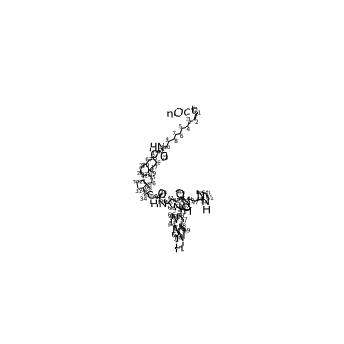 CCCCCCCC/C=C\CCCCCCCCNC(=O)O[C@@H]1CC[C@@]2(C)C(CCC3C2CC[C@@]2(C)C3CC[C@@H]2[C@H](C)CCC(=O)N[C@H]2C[C@@H](C(=O)NCCc3ncc[nH]3)N(C(=O)C(Cc3c[nH]cn3)N(C)C)C2)C1